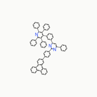 c1ccc(-c2cc(-c3cccc(-c4c(-c5ccccc5)c(-c5ccccc5)nc(-c5ccccc5)c4-c4ccccc4)c3)nc(-c3ccc(-c4ccc5c6ccccc6c6ccccc6c5c4)cc3)n2)cc1